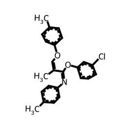 CC(=COc1ccc(C)cc1)C(=Nc1ccc(C)cc1)Oc1cccc(Cl)c1